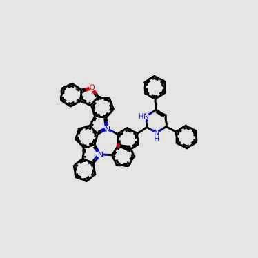 C1=C(c2ccccc2)NC(c2cccc(-n3c4ccc5oc6ccccc6c5c4c4ccc5c6ccccc6n(-c6ccccc6)c5c43)c2)NC1c1ccccc1